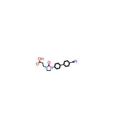 N#Cc1ccc(-c2ccc(N3CCN(CCC(=O)O)C3=O)cc2)cc1